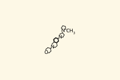 C[C@H]1CCCN1[C@H]1CCN(c2ccc3c(c2)CCN(C2CCOCC2)C3)C1